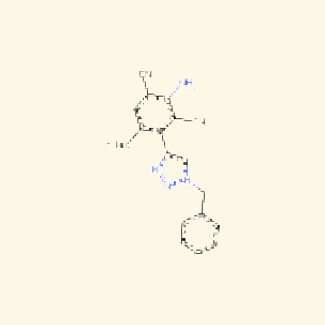 CCCCCCc1cc(C#N)c(N)c(C#N)c1-c1cn(Cc2ccccc2)nn1